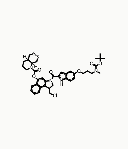 CN(CCCOc1ccc2[nH]c(C(=O)N3C[C@@H](CCl)c4c3cc(OC(=O)N3CCC[C@@H]5CSSC[C@H]53)c3ccccc43)cc2c1)C(=O)OC(C)(C)C